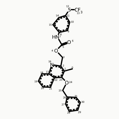 Cc1c(COC(=O)Nc2ccc(SC(F)(F)F)cc2)nc2ccccc2c1OCc1ccccc1